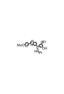 CCOc1cc(O)cc(N(CCNC(C)C)c2ccc3ncc(-c4ccc(OC)nc4)nc3c2)c1